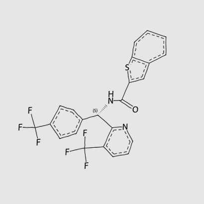 O=C(N[C@@H](c1ccc(C(F)(F)F)cc1)c1ncccc1C(F)(F)F)c1cc2ccccc2s1